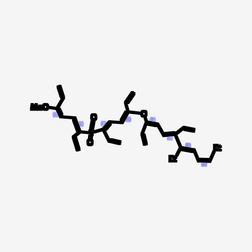 C=C/C(=C\C=C(/C=C)S(=O)(=O)/C(C=C)=C/C=C(\C=C)O/C(C=C)=C/C=C(C=C)/C(=C/C=C\CC)CC)OC